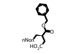 CCCCCCCCCC[C@H](CC(=O)O)C(=O)OCc1ccccc1